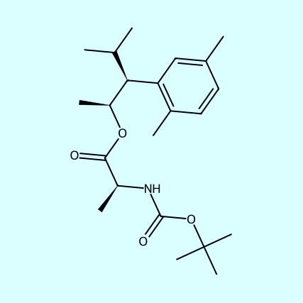 Cc1ccc(C)c([C@H](C(C)C)[C@H](C)OC(=O)[C@H](C)NC(=O)OC(C)(C)C)c1